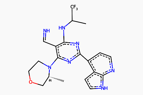 CC(Nc1nc(-c2ccnc3[nH]ccc23)nc(N2CCOC[C@H]2C)c1C=N)C(F)(F)F